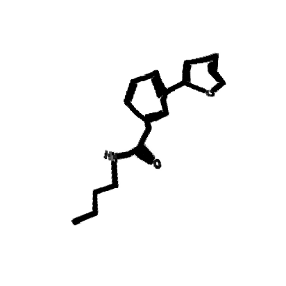 CCCCNC(=O)c1cccc(-c2ccco2)c1